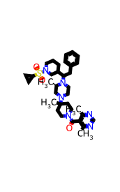 Cc1ncnc(C)c1C(=O)N1CCC(C)(N2CCN(C(Cc3ccccc3)C3CCCN(S(=O)(=O)C4CC4)C3)[C@@H](C)C2)CC1